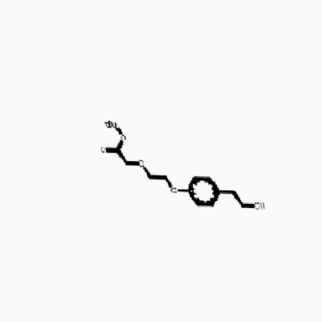 CC(C)(C)OC(=O)COCCOc1ccc(CCO)cc1